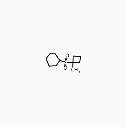 CC1(S(=O)(=O)C2CCCCC2)CCC1